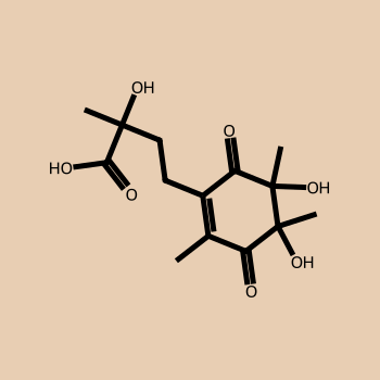 CC1=C(CCC(C)(O)C(=O)O)C(=O)C(C)(O)C(C)(O)C1=O